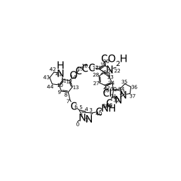 Cn1nc2cc1CCc1cc3c(c(c1)OCCCc1c(C(=O)O)n(C)c4c(c(Cl)ccc14)-c1c(nn4c1CCC4)CNC2)NCCC3